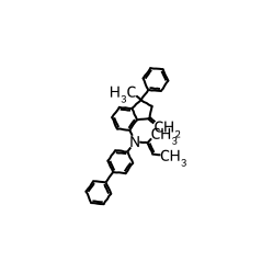 C=C1CC(C)(c2ccccc2)c2cccc(N(/C(C)=C/C)c3ccc(-c4ccccc4)cc3)c21